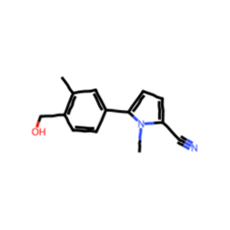 Cc1cc(-c2ccc(C#N)n2C)ccc1CO